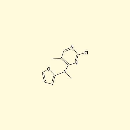 Cc1cnc(Cl)nc1N(C)c1ccco1